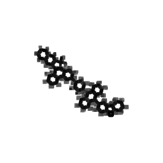 CC1(C)c2cc3ccccc3cc2-c2c1c1ccc(-c3ccc(-c4c5ccccc5c(-c5ccc6oc7ccccc7c6c5)c5ccccc45)cc3)cc1c1ccccc21